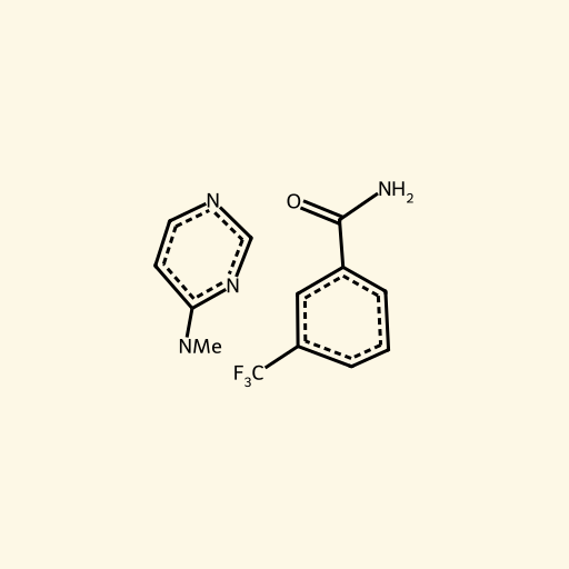 CNc1ccncn1.NC(=O)c1cccc(C(F)(F)F)c1